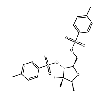 Cc1ccc(S(=O)(=O)OC[C@H]2O[C@@H](C)[C@](C)(F)[C@@H]2OS(=O)(=O)c2ccc(C)cc2)cc1